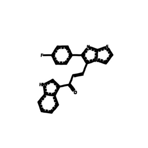 O=C(C=Cc1c(-c2ccc(F)cc2)nc2sccn12)c1c[nH]c2ccccc12